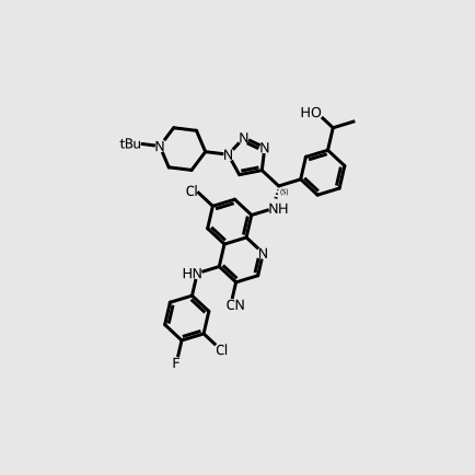 CC(O)c1cccc([C@H](Nc2cc(Cl)cc3c(Nc4ccc(F)c(Cl)c4)c(C#N)cnc23)c2cn(C3CCN(C(C)(C)C)CC3)nn2)c1